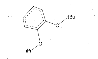 CC(C)Oc1ccccc1OC(C)(C)C